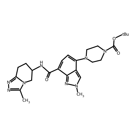 Cc1nnc2n1CC(NC(=O)c1ccc(N3CCN(C(=O)OC(C)(C)C)CC3)c3cn(C)nc13)CC2